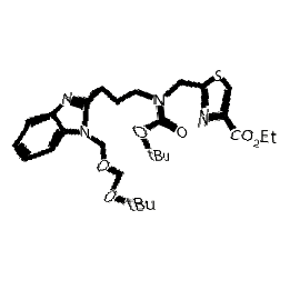 CCOC(=O)c1csc(CN(CCCc2nc3ccccc3n2COCOC(C)(C)C)C(=O)OC(C)(C)C)n1